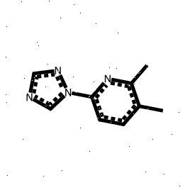 Cc1ccc(-n2cncn2)nc1C